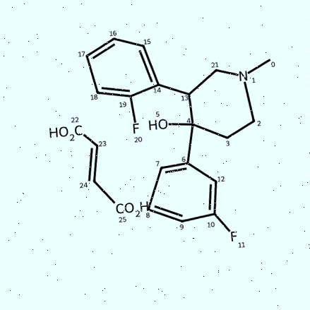 CN1CCC(O)(c2cccc(F)c2)C(c2ccccc2F)C1.O=C(O)C=CC(=O)O